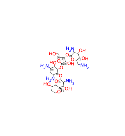 NCC1O[C@H](O[C@@H]2[C@H](O)[C@H](OC3C(O)[C@H](N)CC(N)[C@H]3O[C@H]3OC4C(O)CCO[C@H]4C(O)C3N)O[C@@H]2CO)C(N)C(O)[C@@H]1O